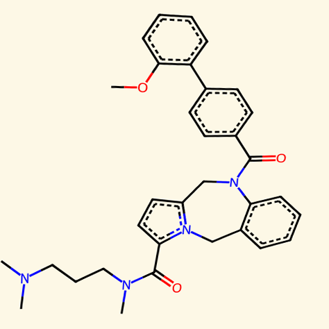 COc1ccccc1-c1ccc(C(=O)N2Cc3ccc(C(=O)N(C)CCCN(C)C)n3Cc3ccccc32)cc1